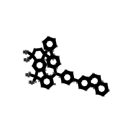 CC1(C)CCC(C)(C)c2cc3c(cc21)-c1c(N(c2ccc(-c4ccccc4)cc2)c2ccc(-c4ccc5c(ccc6ccccc65)c4)cc2)cccc1C3(C)C